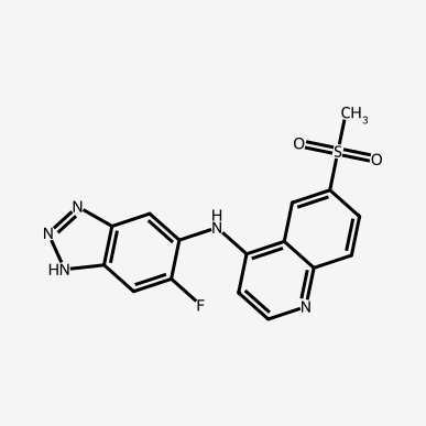 CS(=O)(=O)c1ccc2nccc(Nc3cc4nn[nH]c4cc3F)c2c1